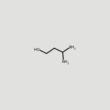 BC(N)CCO